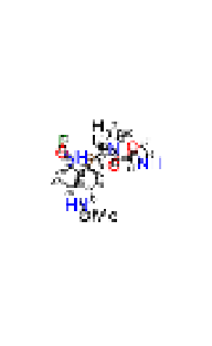 CONCCCc1cc([C@@H](C)N(C(=O)[C@H]2CNCCO2)C2CC2)sc1-c1ccccc1NOF